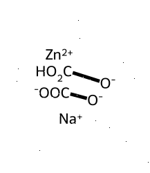 O=C([O-])O.O=C([O-])[O-].[Na+].[Zn+2]